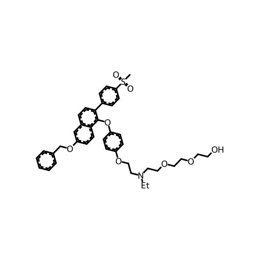 CCN(CCOCCOCCO)CCOc1ccc(Oc2c(-c3ccc(S(C)(=O)=O)cc3)ccc3cc(OCc4ccccc4)ccc23)cc1